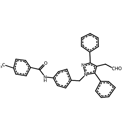 O=CCc1c(-c2ccccc2)nn(Cc2ccc(NC(=O)c3ccc(C(F)(F)F)cc3)cc2)c1-c1ccccc1